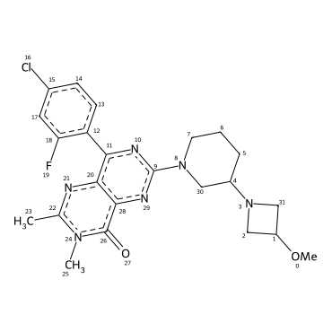 COC1CN(C2CCCN(c3nc(-c4ccc(Cl)cc4F)c4nc(C)n(C)c(=O)c4n3)C2)C1